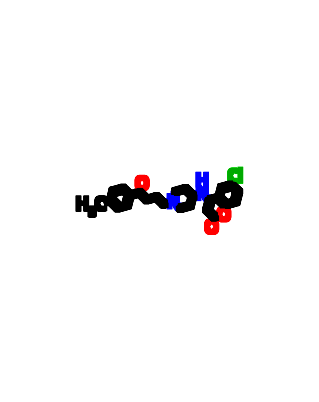 Cc1ccc(C(=O)CCCN2CCC(Nc3cc(=O)oc4ccc(Cl)cc34)CC2)cc1